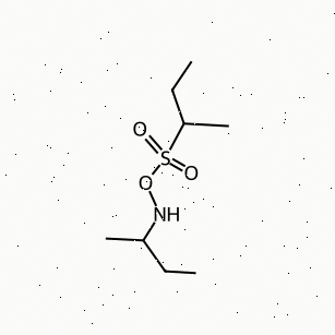 CCC(C)NOS(=O)(=O)C(C)CC